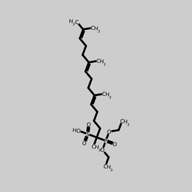 CCOP(=O)(OCC)C(C)(CCC/C=C(\C)CC/C=C(\C)CCC=C(C)C)S(=O)(=O)O